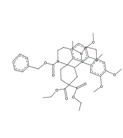 CCOC(=O)C1(C(=O)OCC)CCC2(c3cc(OC)c(OC)cc3CCN2C(=O)OCc2ccccc2)C(C2c3cc(OC)c(OC)cc3CCN2CC)C1